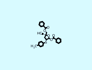 C#C[C@@]1(COC(=O)c2ccccc2)C[C@@H](Sc2ccc(C)cc2)C(OC(=O)c2ccccc2)O1